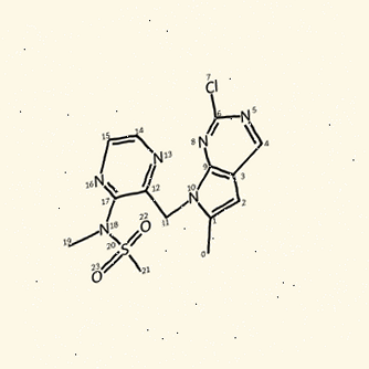 Cc1cc2cnc(Cl)nc2n1Cc1nccnc1N(C)S(C)(=O)=O